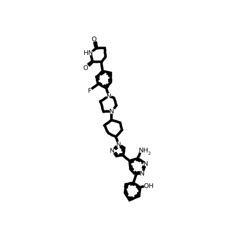 Nc1nnc(-c2ccccc2O)cc1-c1cnn(C2CCC(N3CCN(c4ccc(C5CCC(=O)NC5=O)cc4F)CC3)CC2)c1